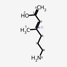 C=C(O)/C=C(\C)CCCN